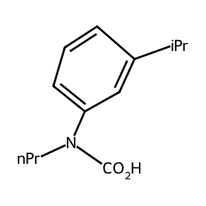 CCCN(C(=O)O)c1cccc(C(C)C)c1